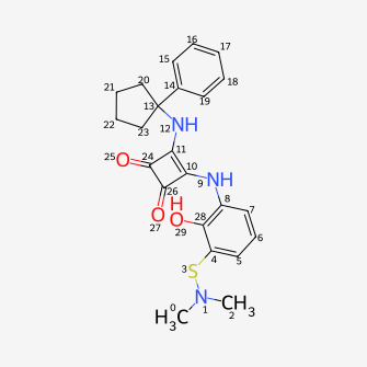 CN(C)Sc1cccc(Nc2c(NC3(c4ccccc4)CCCC3)c(=O)c2=O)c1O